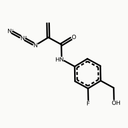 C=C(N=[N+]=[N-])C(=O)Nc1ccc(CO)c(F)c1